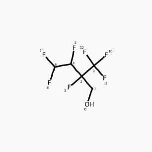 OCC(F)(C(F)C(F)F)C(F)(F)F